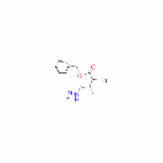 C=NNC=C(C)C(C(=O)OCc1ccccc1)C(C)C